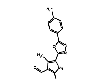 Cc1ccc(-c2nnc(-c3[nH]c(C)c(C=O)c3C)o2)cc1